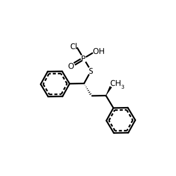 C[C@H](C[C@@H](SP(=O)(O)Cl)c1ccccc1)c1ccccc1